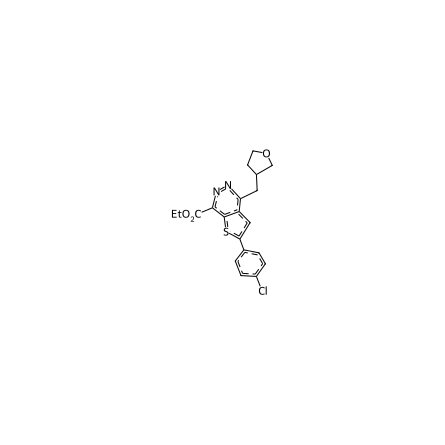 CCOC(=O)c1nnc(CC2CCOC2)c2cc(-c3ccc(Cl)cc3)sc12